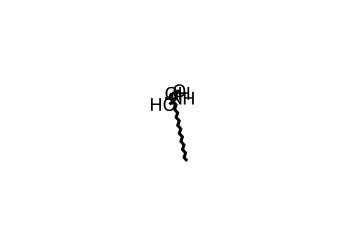 CCCCCCCCCCCCCCCC(O)(N[C]=O)C(C)O